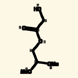 COC(COC(=O)CO)OC